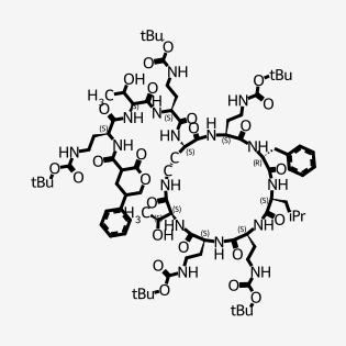 CC(C)C[C@@H]1NC(=O)[C@@H](Cc2ccccc2)NC(=O)[C@H](CCNC(=O)OC(C)(C)C)NC(=O)[C@@H](NC(=O)[C@H](CCNC(=O)OC(C)(C)C)NC(=O)[C@@H](NC(=O)[C@H](CCNC(=O)OC(C)(C)C)NC(=O)C2CC(c3ccccc3)COC2=O)C(C)O)CCNC(=O)[C@H]([C@H](C)O)NC(=O)[C@H](CCNC(=O)OC(C)(C)C)NC(=O)[C@H](CCNC(=O)OC(C)(C)C)NC1=O